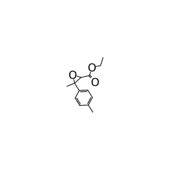 CCOC(=O)C1OC1(C)c1ccc(C)cc1